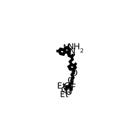 CCOP(=O)(OCC)C(F)(F)CCOCCOc1ccc(CCc2cnc3c(N)nc4cc(C)ccc4c3c2)c(C)c1